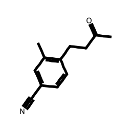 CC(=O)CCc1ccc(C#N)cc1C